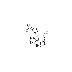 Nc1ncnn2c(-c3cccc(C(O)C(F)(F)F)c3)cc(-c3ccnn3C3CCOCC3)c12